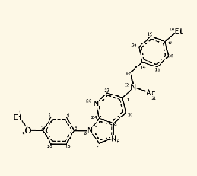 CCOc1ccc(-n2cnc3cc(N(Cc4ccc(CC)cc4)C(C)=O)cnc32)cc1